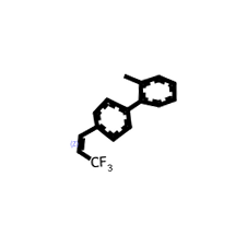 Cc1ccccc1-c1ccc(/C=C\C(F)(F)F)cc1